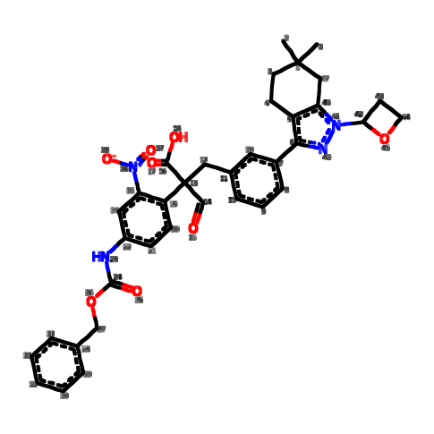 CC1(C)CCc2c(-c3cccc(CC(C=O)(C(=O)O)c4ccc(NC(=O)OCc5ccccc5)cc4[N+](=O)[O-])c3)nn(C3CCO3)c2C1